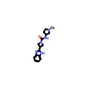 N#CN1CCC(NC(=O)N2CC(c3nc4ccccc4[nH]3)C2)C1